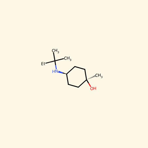 CCC(C)(C)N[C@H]1CC[C@@](C)(O)CC1